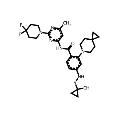 Cc1cc(NC(=O)c2ccc(NSC3(C)CC3)cc2N2CCC3(CC2)CC3)nc(N2CCC(F)(F)CC2)n1